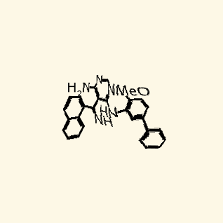 COc1ccc(-c2ccccc2)cc1Nc1ncnc(N)c1C(=N)c1cccc2ccccc12